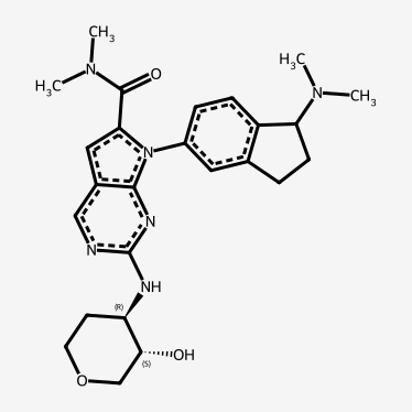 CN(C)C(=O)c1cc2cnc(N[C@@H]3CCOC[C@H]3O)nc2n1-c1ccc2c(c1)CCC2N(C)C